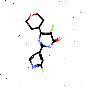 O=c1[nH]c(-c2ccnc(F)c2)nc(C2CCOCC2)c1F